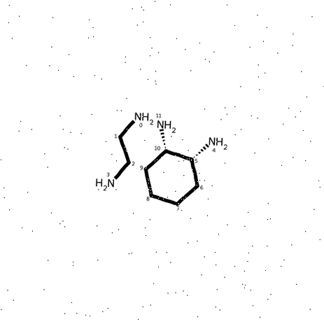 NCCN.N[C@@H]1CCCC[C@@H]1N